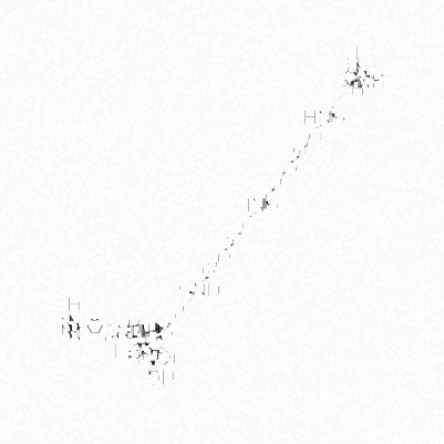 O=C(CCCCCCO[C@]1(C(=O)O)C[C@H](O)[C@@H](NC(=O)CO)[C@H]([C@H](O)[C@H](O)CNC(=O)Cc2ccc(-c3nnn[nH]3)cc2)O1)NCCOCCOCCOCCOCCNC(=O)CCOCCOCCOCCOCCNC(=O)CCCC[C@H]1SC[C@H]2NC(=O)N[C@H]21